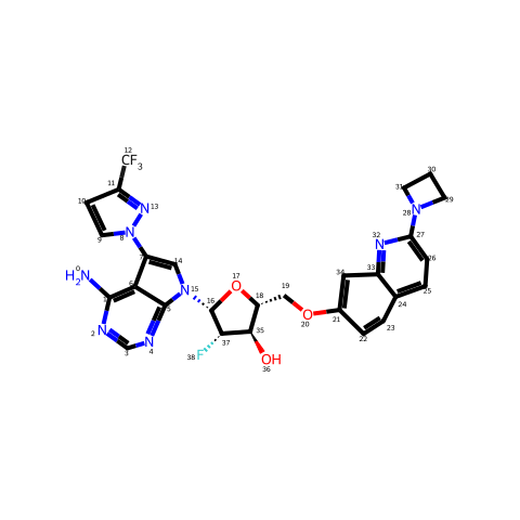 Nc1ncnc2c1c(-n1ccc(C(F)(F)F)n1)cn2[C@@H]1O[C@H](COc2ccc3ccc(N4CCC4)nc3c2)[C@@H](O)[C@@H]1F